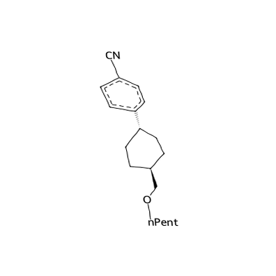 CCCCCOC[C@H]1CC[C@H](c2ccc(C#N)cc2)CC1